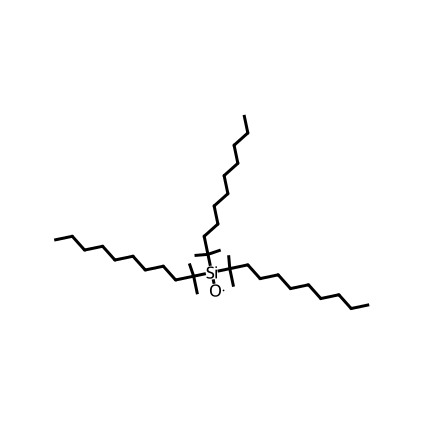 CCCCCCCCCC(C)(C)[Si]([O])(C(C)(C)CCCCCCCCC)C(C)(C)CCCCCCCCC